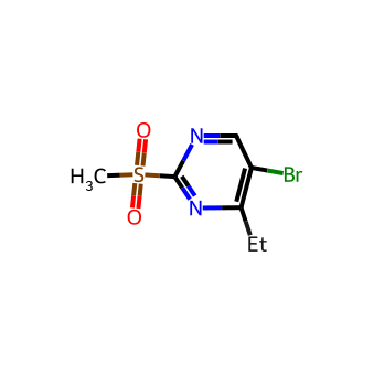 CCc1nc(S(C)(=O)=O)ncc1Br